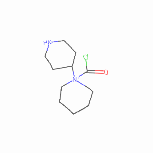 O=C(Cl)[N+]1(C2CCNCC2)CCCCC1